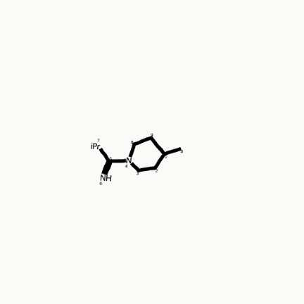 CC1CCN(C(=N)C(C)C)CC1